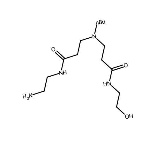 CCCCN(CCC(=O)NCCN)CCC(=O)NCCO